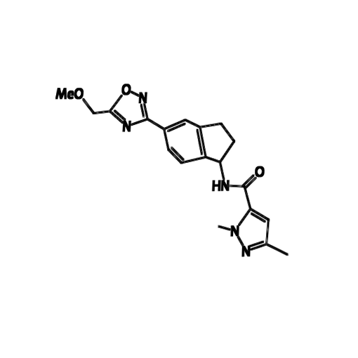 COCc1nc(-c2ccc3c(c2)CCC3NC(=O)c2cc(C)nn2C)no1